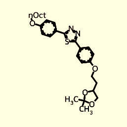 CCCCCCCCOc1ccc(-c2nnc(-c3ccc(OCCC4COC(C)(C)O4)cc3)s2)cc1